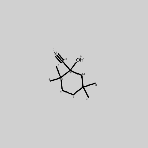 CC1(C)CCC(C)(C)C(O)(C#N)C1